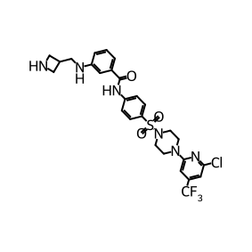 O=C(Nc1ccc(S(=O)(=O)N2CCN(c3cc(C(F)(F)F)cc(Cl)n3)CC2)cc1)c1cccc(NCC2CNC2)c1